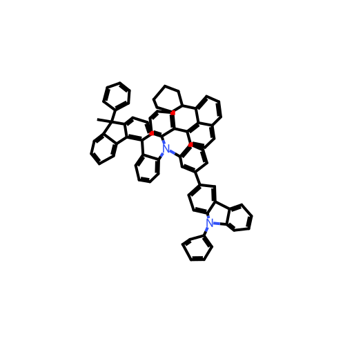 CC1(c2ccccc2)c2ccccc2-c2c(-c3ccccc3N(c3cccc(-c4ccc5c(c4)c4ccccc4n5-c4ccccc4)c3)c3ccccc3-c3cccc4cccc(C5CCCCC5)c34)cccc21